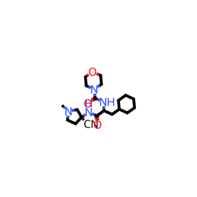 CN1CCC(C#N)(NC(=O)C(CC2CCCCC2)NC(=O)N2CCOCC2)C1